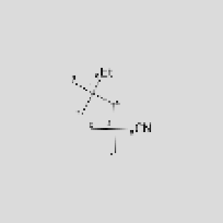 CCC(C)(C)CC(C)(C)C#N